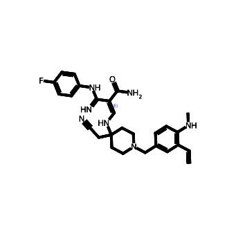 C=Cc1cc(CN2CCC(CC#N)(N/C=C(\C(=N)Nc3ccc(F)cc3)C(N)=O)CC2)ccc1NC